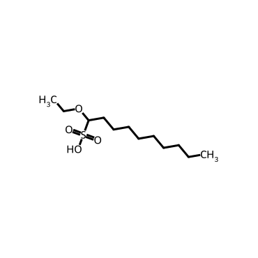 CCCCCCCCCC(OCC)S(=O)(=O)O